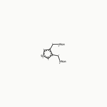 CCCCCCCCCCc1c[se]cc1CCCCCCCCCC